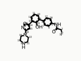 O=C(CF)Nc1ccc(-c2cccc(-c3cc(N4CCNCC4)no3)c2O)cc1